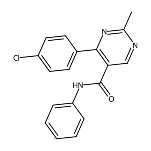 Cc1ncc(C(=O)Nc2cc[c]cc2)c(-c2ccc(Cl)cc2)n1